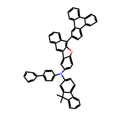 CC1(C)c2ccccc2-c2ccc(N(c3ccc(-c4ccccc4)cc3)c3ccc4oc5c(-c6ccc7c8ccccc8c8ccccc8c7c6)c6ccccc6cc5c4c3)cc21